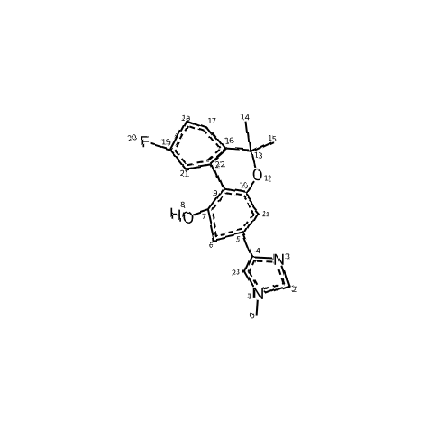 Cn1cnc(-c2cc(O)c3c(c2)OC(C)(C)c2ccc(F)cc2-3)c1